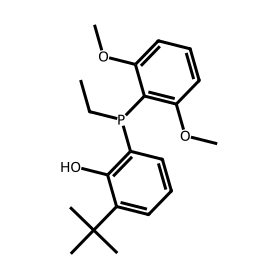 CCP(c1cccc(C(C)(C)C)c1O)c1c(OC)cccc1OC